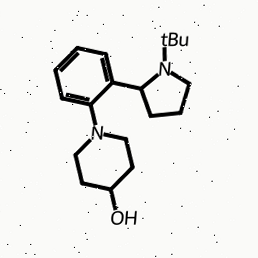 CC(C)(C)N1CCCC1c1ccccc1N1CCC(O)CC1